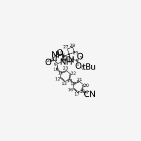 CC(C)(C)OC(=O)NC1(C(=O)N[C@@H](Cc2ccc(-c3ccc(C#N)cc3)cc2)C(N)=O)CCC1